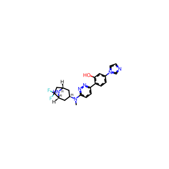 CN(c1ccc(-c2ccc(-n3ccnc3)cc2O)nn1)[C@@H]1C[C@H]2CC(F)(F)[C@@H](C1)N2